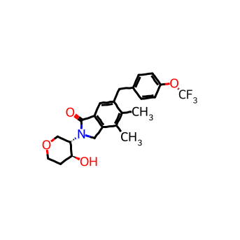 Cc1c(Cc2ccc(OC(F)(F)F)cc2)cc2c(c1C)CN([C@H]1COCC[C@@H]1O)C2=O